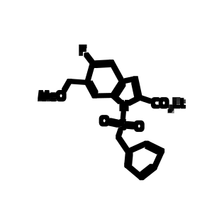 CCOC(=O)c1cc2cc(F)c(COC)cc2n1S(=O)(=O)Cc1ccccc1